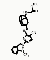 CC(C)(C)OC(=O)CNC1C2CC3CC1CC(CNc1nc(NCc4ccccc4OC(F)(F)F)ncc1C#N)(C3)C2